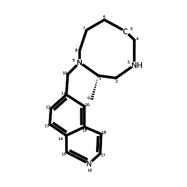 C[C@H]1CNCCCCCN1Cc1ccc2cnccc2c1